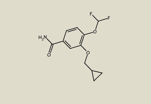 NC(=O)c1ccc(OC(F)F)c(OCC2CC2)c1